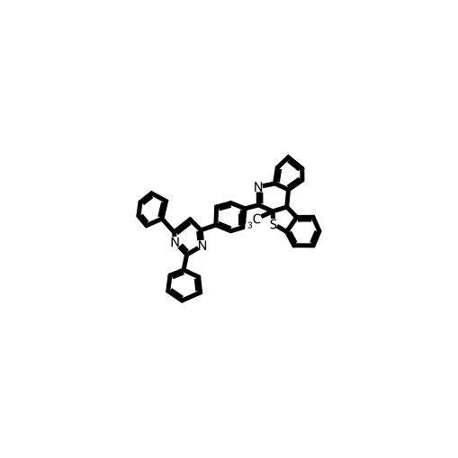 CC12Sc3ccccc3C1c1ccccc1N=C2c1ccc(-c2cc(-c3ccccc3)nc(-c3ccccc3)n2)cc1